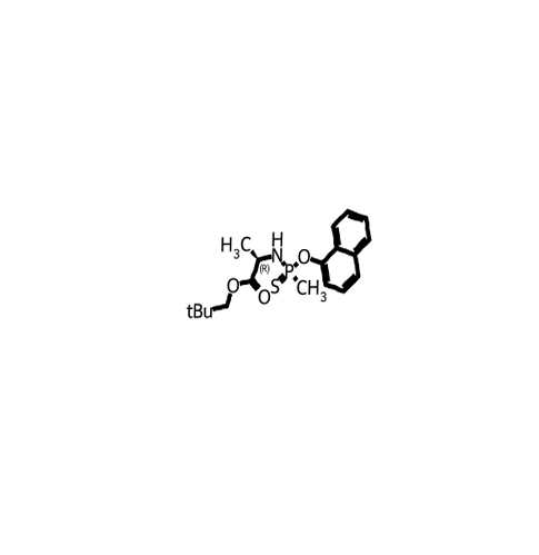 C[C@@H](NP(C)(=S)Oc1cccc2ccccc12)C(=O)OCC(C)(C)C